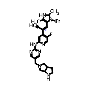 C#C/C(=C\C1=C(C)NC(C)N1C(C)C)c1cc(Nc2ncc(CN3CC4CCNC4C3)cn2)ncc1F